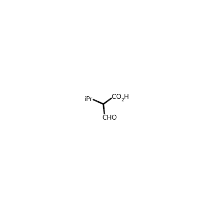 CC(C)C(C=O)C(=O)O